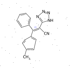 Cc1ccc(/C(=C(\C#N)c2nnn[nH]2)c2ccccc2)cc1